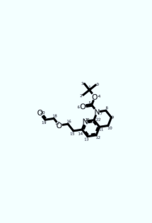 CC(C)(C)OC(=O)N1CCCc2ccc(CCOCC=O)nc21